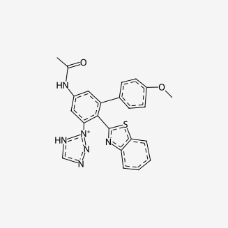 COc1ccc(-c2cc(NC(C)=O)cc(-[n+]3nnc[nH]3)c2-c2nc3ccccc3s2)cc1